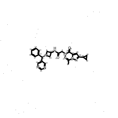 Cc1nn(CC(=O)NC2CN([C@H](c3ccccc3)c3cncnc3)C2)c(=O)c2cc(C3CC3)nn12